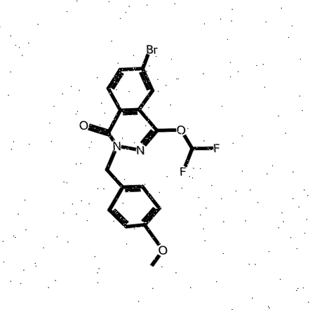 COc1ccc(Cn2nc(OC(F)F)c3cc(Br)ccc3c2=O)cc1